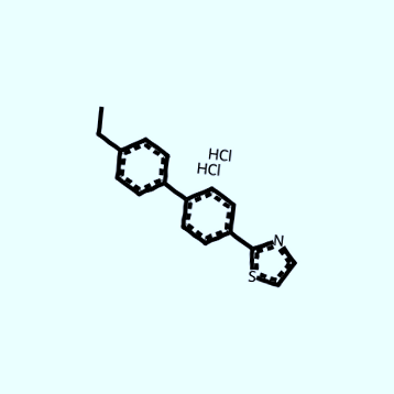 CCc1ccc(-c2ccc(-c3nccs3)cc2)cc1.Cl.Cl